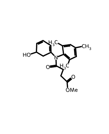 COC(=O)CCC(=O)N(C1=CC=CC(O)C1)c1c(C)cc(C)cc1C